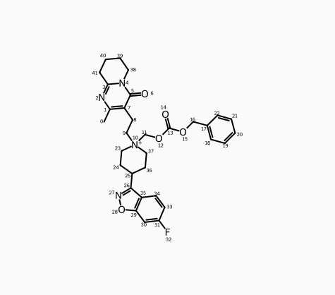 Cc1nc2n(c(=O)c1CC[N+]1(COC(=O)OCc3ccccc3)CCC(c3noc4cc(F)ccc34)CC1)CCCC2